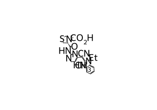 CCN1/C(=C(\C#N)c2nc(NC(=O)[C@H]3CSCN3C(=O)O)ncc2C)Nc2ccccc21